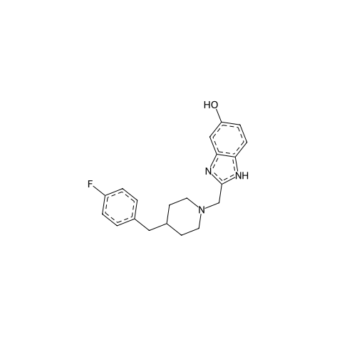 Oc1ccc2[nH]c(CN3CCC(Cc4ccc(F)cc4)CC3)nc2c1